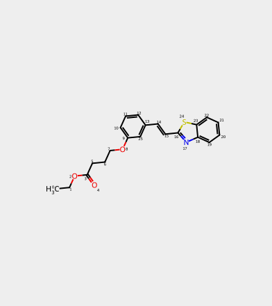 CCOC(=O)CCCOc1cccc(C=Cc2nc3ccccc3s2)c1